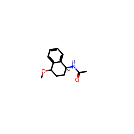 COC1CC[C@H](NC(C)=O)c2ccccc21